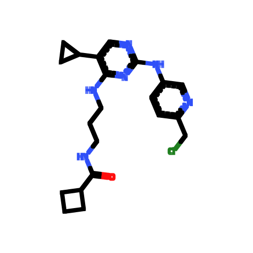 O=C(NCCCNc1nc(Nc2ccc(CCl)nc2)ncc1C1CC1)C1CCC1